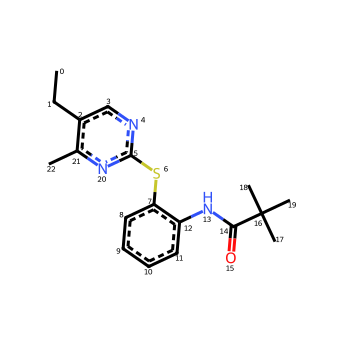 CCc1cnc(Sc2ccccc2NC(=O)C(C)(C)C)nc1C